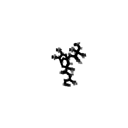 CCC1(C(=O)OC(CSC)C(F)(F)F)CC2CC(OC(=O)C(C)(CC(C)(C)C)C(C)(C)C)(CC(C)C2C)C1